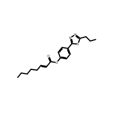 CCCCCC=CC(=O)Oc1ccc(-c2nnc(CCC)s2)cc1